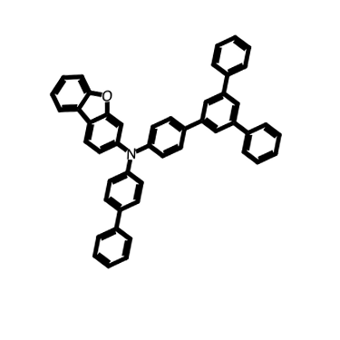 c1ccc(-c2ccc(N(c3ccc(-c4cc(-c5ccccc5)cc(-c5ccccc5)c4)cc3)c3ccc4c(c3)oc3ccccc34)cc2)cc1